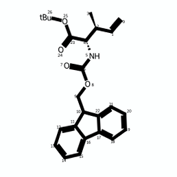 C=C[C@H](C)[C@H](NC(=O)OCC1c2ccccc2-c2ccccc21)C(=O)OC(C)(C)C